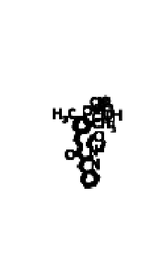 Cc1cc(CCC(=O)c2cc3ccccc3nc2N2CCOCC2)cc(C)c1OC(C)(C)C(=O)O